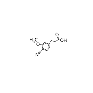 COc1cc(CCC(=O)O)ccc1C#N